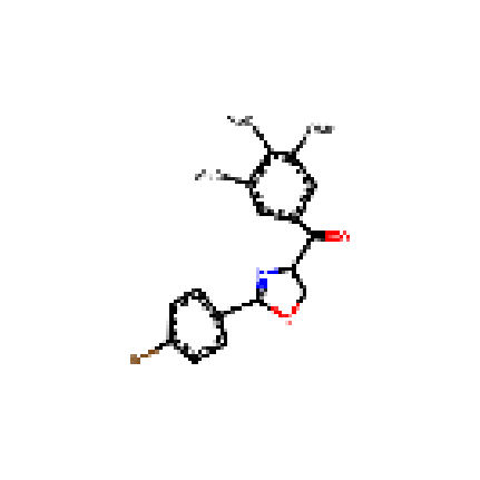 COc1cc(C(=O)C2COC(c3ccc(Br)cc3)=N2)cc(OC)c1OC